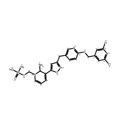 NC1C(c2cc(Cc3ccc(OCc4cc(Cl)nc(Cl)c4)nc3)no2)=CC=CN1COP(=O)(O)O